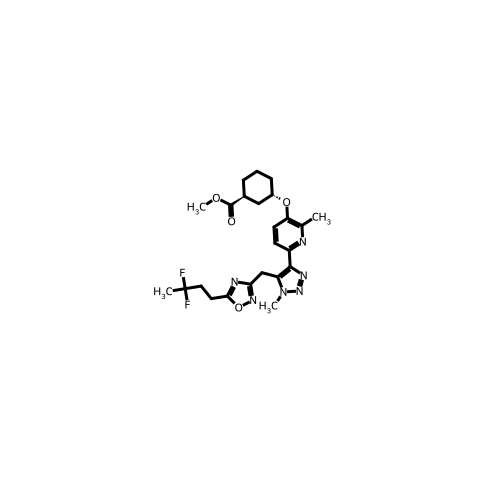 COC(=O)[C@H]1CCC[C@H](Oc2ccc(-c3nnn(C)c3Cc3noc(CCC(C)(F)F)n3)nc2C)C1